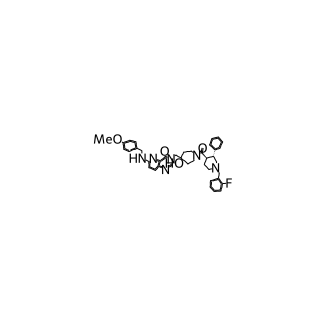 COc1ccc(CNc2ccc3ncn(CC4(O)CCN(C(=O)[C@@H]5CCN(Cc6ccccc6F)C[C@H]5c5ccccc5)CC4)c(=O)c3n2)cc1